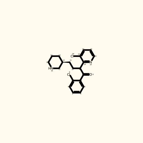 O=C(c1ccccc1Cl)C(CC[C@@H]1CCCNC1)c1ncccc1Cl